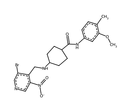 COc1cc(NC(=O)C2CCC(NCc3c(Br)cncc3[N+](=O)[O-])CC2)ccc1C